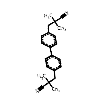 CC(C)(C#N)Cc1ccc(-c2ccc(CC(C)(C)C#N)cc2)cc1